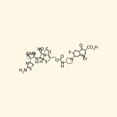 CCn1cc(C(=O)O)c(=O)c2cc(F)c(N3CCC(NC(=O)OCC4=C(OC(=O)O)N5C(=O)[C@@H](NC(=O)/C(=N\OC)c6csc(N)n6)[C@H]5SC4)C3)cc21